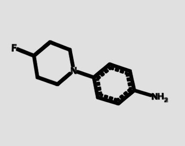 Nc1ccc(N2CCC(F)CC2)cc1